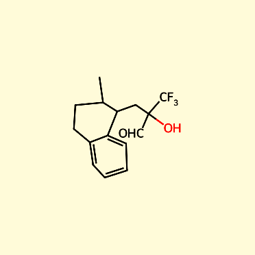 CC1CCc2ccccc2C1CC(O)(C=O)C(F)(F)F